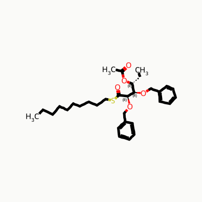 CCCCCCCCCCSC(=O)[C@H](OCc1ccccc1)[C@H](OCc1ccccc1)[C@@H](CC)OC(C)=O